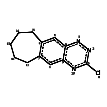 Clc1nnc2cc3c(cc2n1)CCCCC3